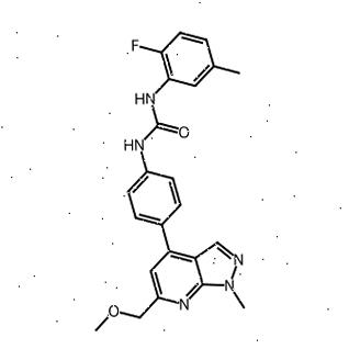 COCc1cc(-c2ccc(NC(=O)Nc3cc(C)ccc3F)cc2)c2cnn(C)c2n1